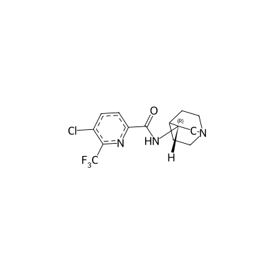 O=C(N[C@H]1CN2CCC1CC2)c1ccc(Cl)c(C(F)(F)F)n1